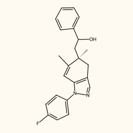 CC1=Cc2c(cnn2-c2ccc(F)cc2)C[C@]1(C)CC(O)c1ccccc1